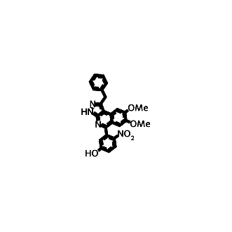 COc1cc2c(-c3cc(O)ccc3[N+](=O)[O-])nc3[nH]nc(Cc4ccccc4)c3c2cc1OC